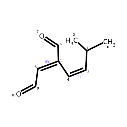 CC(C)/C=C\C(C=O)=C/C=O